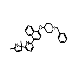 CC1=NC(C)(c2cccc(-c3ccc(OC4CCN(Cc5ccccc5)CC4)c4ccccc34)n2)C=C1